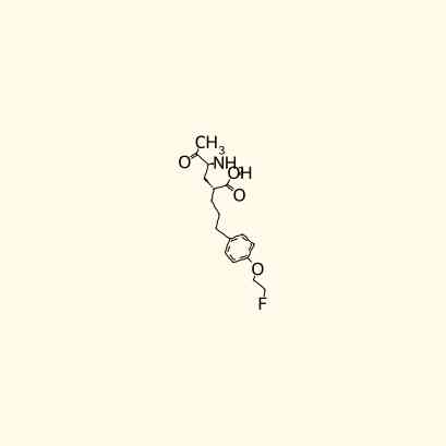 CC(=O)[C@@H](N)C[C@H](CCCc1ccc(OCCF)cc1)C(=O)O